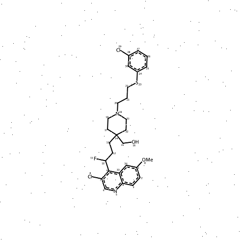 COc1ccc2ncc(Cl)c(C(F)CCC3(CO)CCN(CCCSc4cccc(Cl)c4)CC3)c2c1